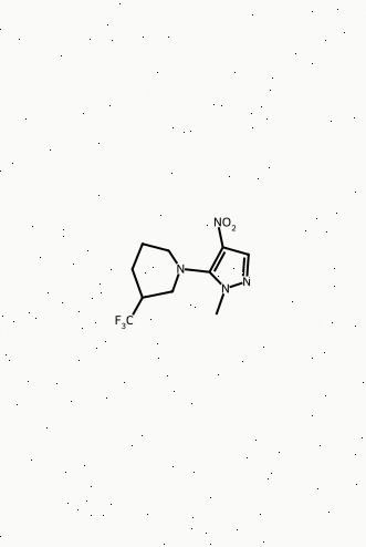 Cn1ncc([N+](=O)[O-])c1N1CCCC(C(F)(F)F)C1